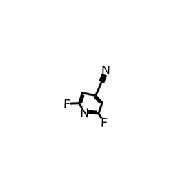 N#Cc1cc(F)nc(F)c1